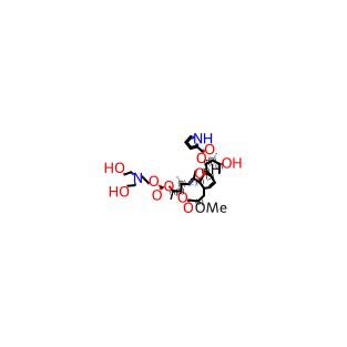 CO[C@H]1CC2C=C[C@@H]3C[C@]2(O[C@H]3[C@H](OC(=O)c2ccc[nH]2)[C@H](C)[C@H](C)O)/C(C)=C/[C@@H](C)[C@@H]([C@@H](C)OC(=O)OCCN(CCO)CCO)OC1=O